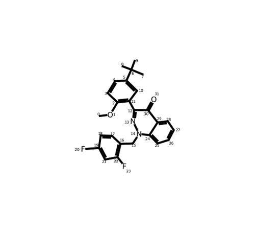 COc1ccc(C(C)(C)C)cc1-c1nn(Cc2ccc(F)cc2F)c2ccccc2c1=O